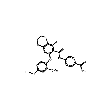 COc1cc(OC(F)(F)F)ccc1Oc1cc2c(c(F)c1C(=O)Nc1ccc(C(N)=O)nc1)OCCO2